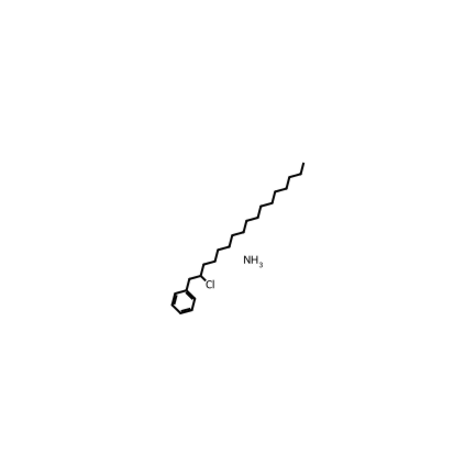 CCCCCCCCCCCCCCCC(Cl)Cc1ccccc1.N